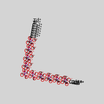 O=P([O-])([O-])[O-].O=P([O-])([O-])[O-].O=P([O-])([O-])[O-].O=P([O-])([O-])[O-].O=P([O-])([O-])[O-].O=P([O-])([O-])[O-].O=P([O-])([O-])[O-].O=P([O-])([O-])[O-].O=P([O-])([O-])[O-].O=P([O-])([O-])[O-].[Ca+2].[Ca+2].[Ca+2].[Ca+2].[Ca+2].[Ca+2].[Ca+2].[Ca+2].[Ca+2].[Ti+4].[Ti+4].[Ti+4]